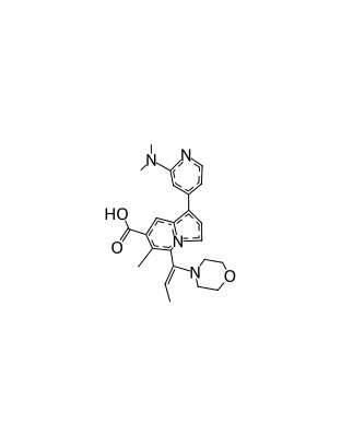 CC=C(c1c(C)c(C(=O)O)cc2c(-c3ccnc(N(C)C)c3)ccn12)N1CCOCC1